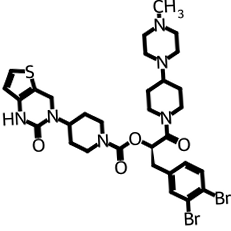 CN1CCN(C2CCN(C(=O)[C@@H](Cc3ccc(Br)c(Br)c3)OC(=O)N3CCC(N4Cc5sccc5NC4=O)CC3)CC2)CC1